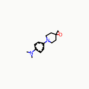 CN(C)c1ccc(N2CCC3(CC2)CO3)cc1